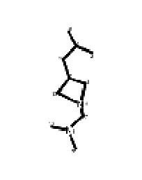 CC(C)CC1CN(CN(C)C)C1